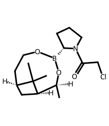 C[C@@H]1OB([C@@H]2CCCN2C(=O)CCl)OCC[C@@H]2C[C@H]1C2(C)C